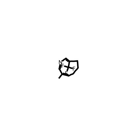 CC1=C/CCC/C(C(F)(F)F)=C/N=C\1